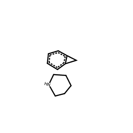 C1CCNCC1.c1ccc2c(c1)C2